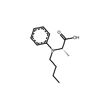 CCCCN(c1ccccc1)[C@@H](C)C(=O)O